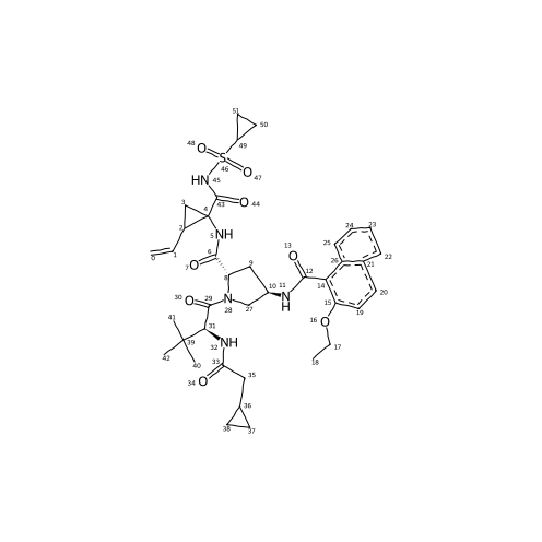 C=CC1CC1(NC(=O)[C@@H]1C[C@@H](NC(=O)c2c(OCC)ccc3ccccc23)CN1C(=O)[C@@H](NC(=O)CC1CC1)C(C)(C)C)C(=O)NS(=O)(=O)C1CC1